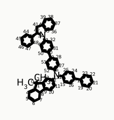 CC1(C)C2=CC=CCC2c2ccc(N(c3ccc(-c4ccccc4)cc3)c3ccc(-c4ccc(N5c6ccccc6CC5c5ccccc5)cc4)cc3)cc21